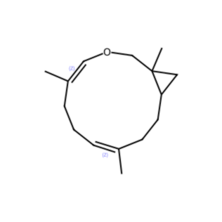 C/C1=C/OCC2(C)CC2CC/C(C)=C\CC1